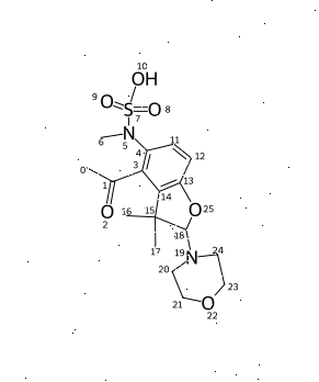 CC(=O)c1c(N(C)S(=O)(=O)O)ccc2c1C(C)(C)C(N1CCOCC1)O2